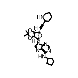 CC1(C)O[C@H]2[C@H](O1)[C@@H](C#CC1CCCCN1)O[C@H]2n1cnc2c(NC3CCCC3)ncnc21